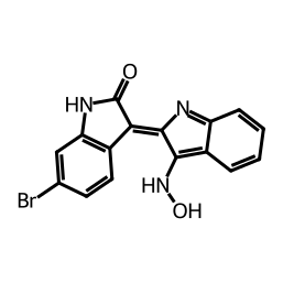 O=C1Nc2cc(Br)ccc2/C1=C1/N=c2ccccc2=C1NO